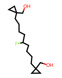 OCC1(CCCCC(F)CCCCC2(CO)CC2)CC1